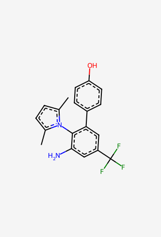 Cc1ccc(C)n1-c1c(N)cc(C(F)(F)F)cc1-c1ccc(O)cc1